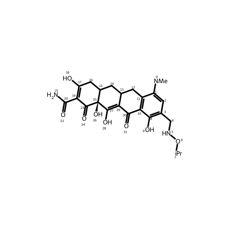 CNc1cc(CNOC(C)C)c(O)c2c1CC1CC3CC(O)=C(C(N)=O)C(=O)[C@@]3(O)C(O)=C1C2=O